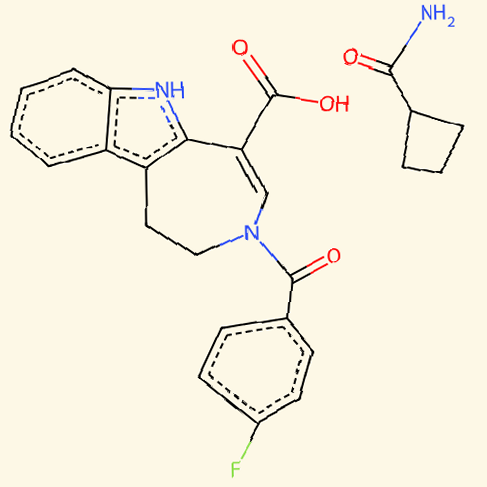 NC(=O)C1CCC1.O=C(O)C1=CN(C(=O)c2ccc(F)cc2)CCc2c1[nH]c1ccccc21